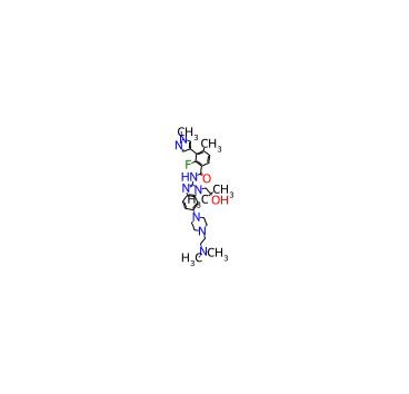 Cc1ccc(C(=O)Nc2nc3ccc(N4CCN(CCN(C)C)CC4)cc3n2CC(C)(C)O)c(F)c1-c1cnn(C)c1